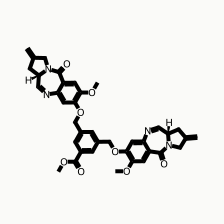 C=C1C[C@H]2C=Nc3cc(OCc4cc(COc5cc6c(cc5OC)C(=O)N5CC(=C)C[C@H]5C=N6)cc(C(=O)OC)c4)c(OC)cc3C(=O)N2C1